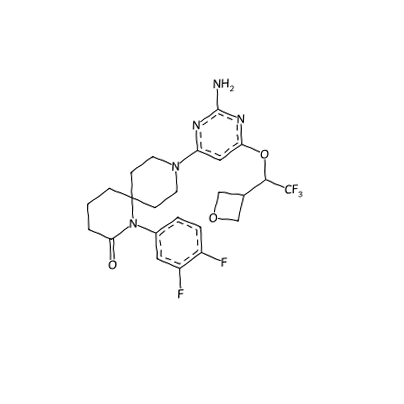 Nc1nc(OC(C2COC2)C(F)(F)F)cc(N2CCC3(CCCC(=O)N3c3ccc(F)c(F)c3)CC2)n1